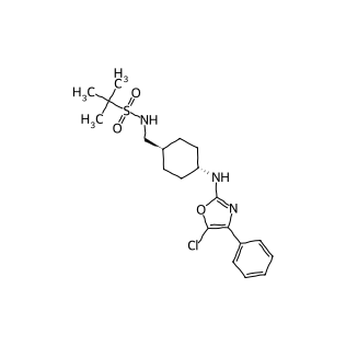 CC(C)(C)S(=O)(=O)NC[C@H]1CC[C@H](Nc2nc(-c3ccccc3)c(Cl)o2)CC1